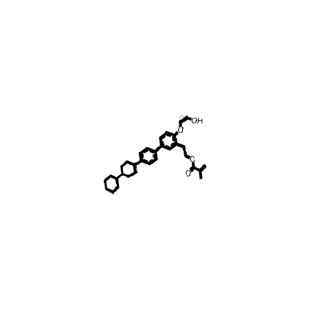 C=C(C)C(=O)OCCc1cc(-c2ccc(C3CCC(C4CCCCC4)CC3)cc2)ccc1O/C=C\O